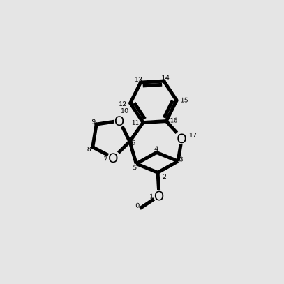 COC1C2CC1C1(OCCO1)c1ccccc1O2